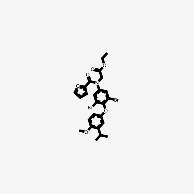 CCOC(=O)CN(C(=O)c1ccco1)c1cc(Br)c(Oc2ccc(OC)c(C(C)C)c2)c(Br)c1